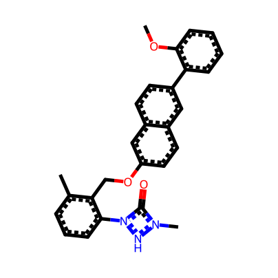 COc1ccccc1-c1ccc2cc(OCc3c(C)cccc3-n3[nH]n(C)c3=O)ccc2c1